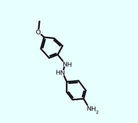 COc1ccc(NNc2ccc(N)cc2)cc1